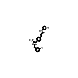 Cc1oc(Cc2cccc(Cl)c2)nc1-c1ccc(/C=C/C(=O)NC2CCNC2)cc1